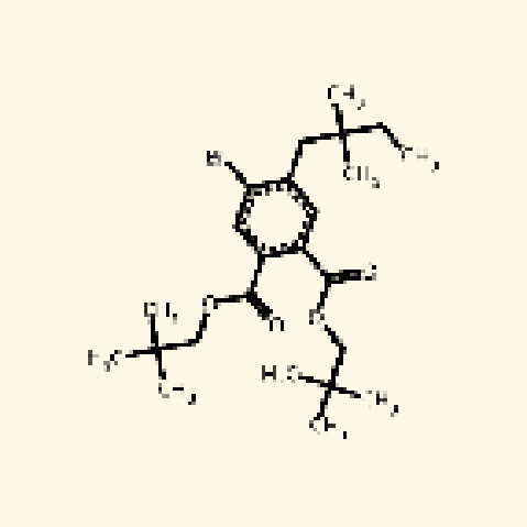 CCC(C)(C)Cc1cc(C(=O)OCC(C)(C)C)c(C(=O)OCC(C)(C)C)cc1Br